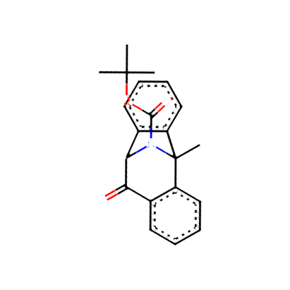 CC(C)(C)OC(=O)N1C2C(=O)c3ccccc3C1(C)c1ccccc12